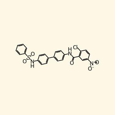 O=C(Nc1ccc(-c2ccc(NS(=O)(=O)c3ccccc3)cc2)cc1)c1cc([N+](=O)[O-])ccc1Cl